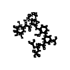 COc1c(CN2O[C@@H](CO)[C@@H]([C@H](C)O)[C@H]2C(=O)N[C@H]2C[C@@H](C)C(C)(C)[C@@H](C)[C@@H]2C)cccc1-c1cc(C(=O)N[C@H](CN(C)C)CS(C)(=O)=O)cc(N(C)C)c1